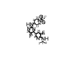 CC(C)Nc1ncc(-c2nc(NC3CCN(S(C)(=O)=O)CC3)ncc2F)cc1F